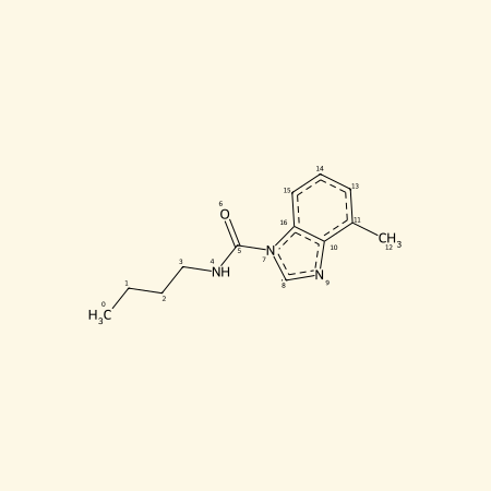 CCCCNC(=O)n1[c]nc2c(C)cccc21